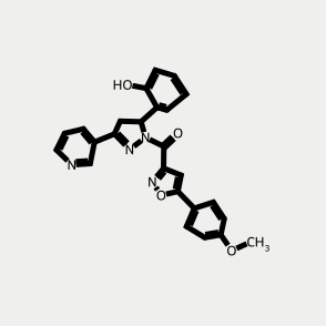 COc1ccc(-c2cc(C(=O)N3N=C(c4cccnc4)CC3c3ccccc3O)no2)cc1